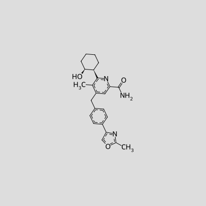 Cc1nc(-c2ccc(Cc3cc(C(N)=O)nc([C@@H]4CCCC[C@@H]4O)c3C)cc2)co1